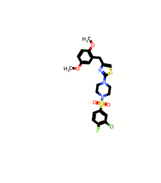 COc1ccc(OC)c(Cc2csc(N3CCN(S(=O)(=O)c4ccc(F)c(Cl)c4)CC3)n2)c1